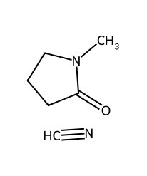 C#N.CN1CCCC1=O